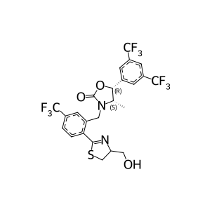 C[C@H]1[C@@H](c2cc(C(F)(F)F)cc(C(F)(F)F)c2)OC(=O)N1Cc1cc(C(F)(F)F)ccc1C1=NC(CO)CS1